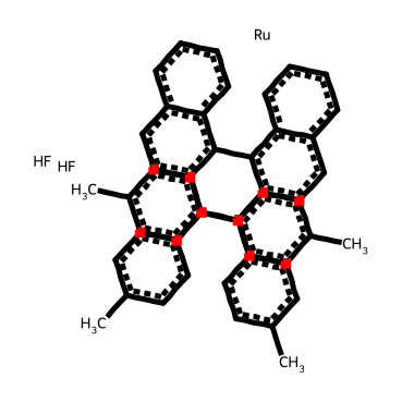 Cc1ccc(P(c2ccc(C)cc2)c2ccc3ccccc3c2-c2c(P(c3ccc(C)cc3)c3ccc(C)cc3)ccc3ccccc23)cc1.F.F.[Ru]